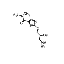 CC(C)NCC(O)COc1ncc(C(=O)N(C)C)s1